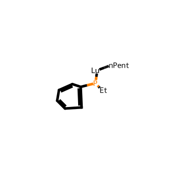 CCCC[CH2][Lu][P](CC)c1ccccc1